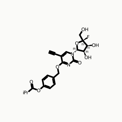 C#Cc1cn([C@@H]2O[C@](F)(CO)[C@@H](O)[C@H]2O)c(=O)nc1OCc1ccc(OC(=O)C(C)C)cc1